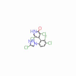 O=c1[nH]cc(Cl)c(-c2c(-n3cc(Cl)nn3)ccc(Cl)c2F)c1Cl